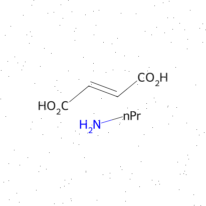 CCCN.O=C(O)C=CC(=O)O